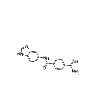 N=C(N)c1ccc(C(=O)Nc2ccc3[nH][c]nc3c2)cc1